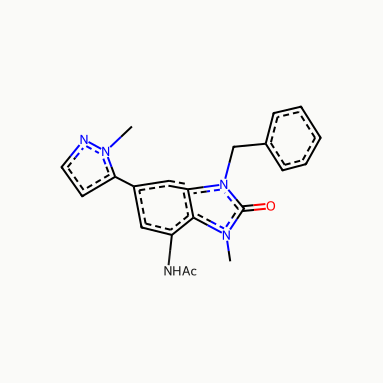 CC(=O)Nc1cc(-c2ccnn2C)cc2c1n(C)c(=O)n2Cc1ccccc1